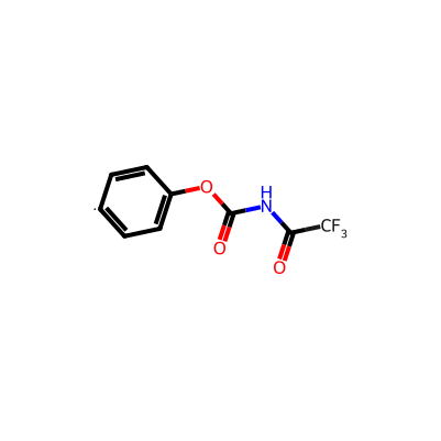 O=C(NC(=O)C(F)(F)F)Oc1cc[c]cc1